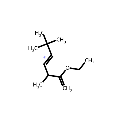 C=C(OCC)C(C)/C=C/C(C)(C)C